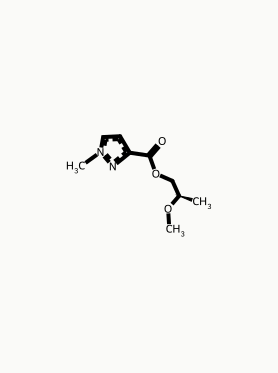 CO[C@H](C)COC(=O)c1ccn(C)n1